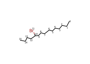 CCCCCCCCCCC(Br)CCCC